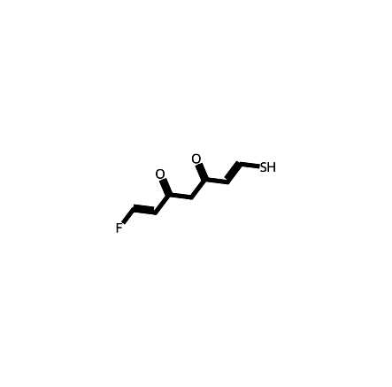 O=C(/C=C/F)CC(=O)/C=C/S